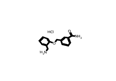 Cl.NCc1ccccc1OCc1cccc(C(N)=O)c1